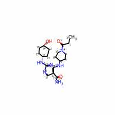 CCC(=O)N1CCC(Nc2nc(N[C@H]3CC[C@H](O)CC3)ncc2C(N)=O)CC1